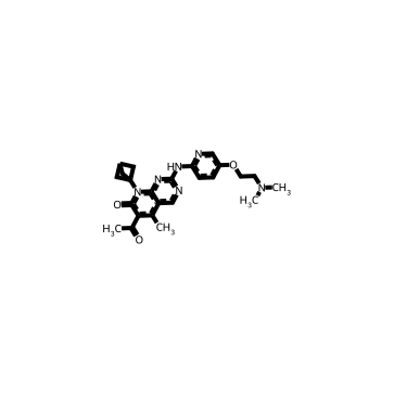 CC(=O)c1c(C)c2cnc(Nc3ccc(OCCN(C)C)cn3)nc2n(C23CC(C2)C3)c1=O